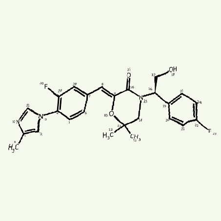 Cc1cn(-c2ccc(C=C3OC(C)(C)CN([C@@H](CO)c4ccc(F)cc4)C3=O)cc2F)cn1